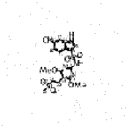 COc1nc(NS(=O)(=O)c2c[nH]c3cc(Cl)ccc23)nc(OC)c1CCS(C)(=O)=O